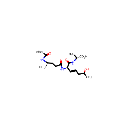 CCCCCCC(=O)N[C@H](CCC(=O)N[C@H](C=CCC(O)C(=O)O)C(=O)N[C@H](C)C(=O)O)C(=O)O